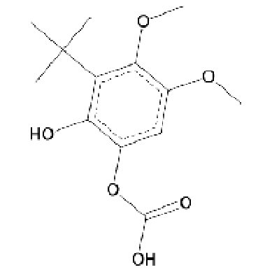 COc1cc(OC(=O)O)c(O)c(C(C)(C)C)c1OC